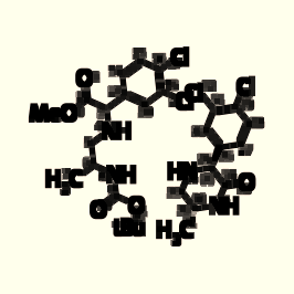 COC(=O)C(NCC(C)NC(=O)OC(C)(C)C)c1ccc(Cl)c(Cl)c1.C[C@@H]1CN[C@@H](c2ccc(Cl)c(Cl)c2)C(=O)N1